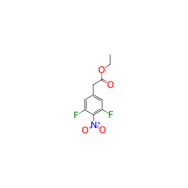 CCOC(=O)Cc1cc(F)c([N+](=O)[O-])c(F)c1